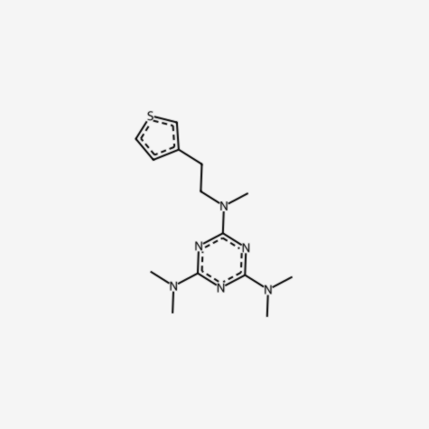 CN(C)c1nc(N(C)C)nc(N(C)CCc2ccsc2)n1